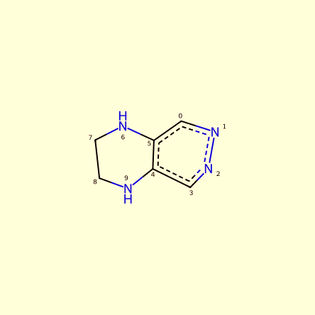 c1nncc2c1NCCN2